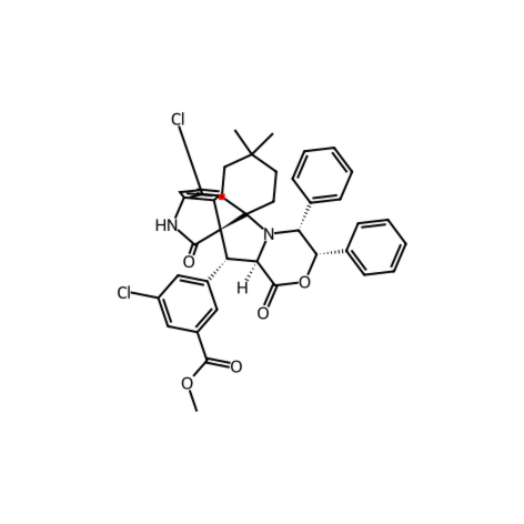 COC(=O)c1cc(Cl)cc([C@H]2[C@@H]3C(=O)O[C@@H](c4ccccc4)[C@@H](c4ccccc4)N3C3(CCC(C)(C)CC3)[C@]23C(=O)Nc2cc(Cl)ccc23)c1